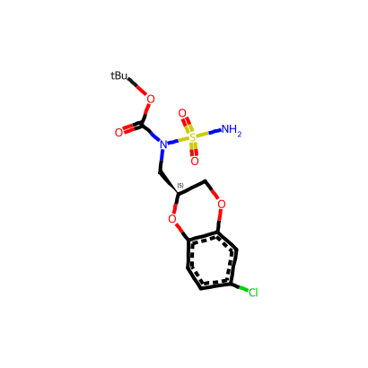 CC(C)(C)OC(=O)N(C[C@H]1COc2cc(Cl)ccc2O1)S(N)(=O)=O